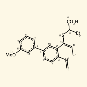 C=Nc1ccc(-c2cccc(OC)c2)cc1/C(=C\C)SC(CC)C(=O)O